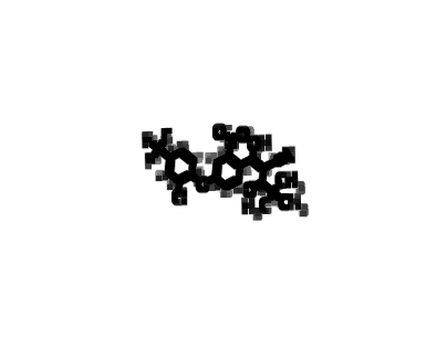 CC(C)(C)C(=O)C(C#N)=C(O)c1ccc(Oc2ccc(C(F)(F)F)cc2Cl)cc1[N+](=O)[O-]